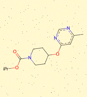 Cc1cc(OC2CCN(C(=O)OC(C)C)CC2)ncn1